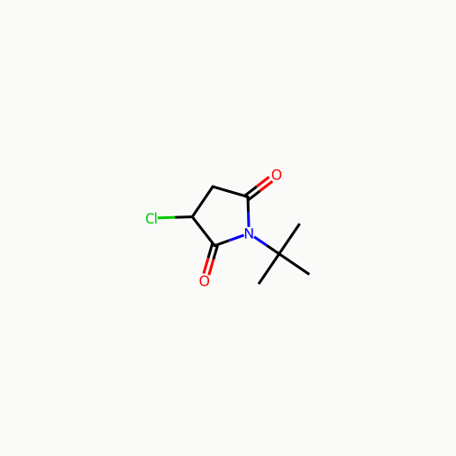 CC(C)(C)N1C(=O)CC(Cl)C1=O